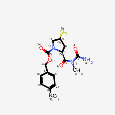 CN(C(N)=O)C(=O)[C@@H]1C[C@H](S)CN1C(=O)OCc1ccc([N+](=O)[O-])cc1